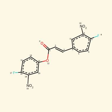 O=C(C=Cc1ccc(F)c([N+](=O)[O-])c1)Oc1ccc(F)c([N+](=O)[O-])c1